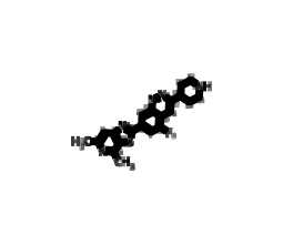 Cc1cc2nc(-c3cc(F)c4cc(C5CCNCC5)nnc4c3)sc2c(C)n1